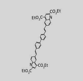 CCOC(=O)c1cc(C(=O)OCC)c2cc(/C=C/c3ccc(-c4ccc(/C=C/c5ccc6nc(C(=O)OCC)cc(C(=O)OCC)c6c5)cc4)cc3)ccc2n1